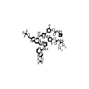 CC(C)NC(=O)O[C@H]1CC[C@@H](c2cc(Nc3nccc4nc(OC(F)(F)F)cn34)[n+](Cc3cc4nc(COC(F)(F)F)cn4c(Nc4cc([C@H]5C[C@@H](F)[C@@H](OC(=O)NC67CC(C6)C7)C5)[nH]n4)n3)[nH]2)[C@@H]1F